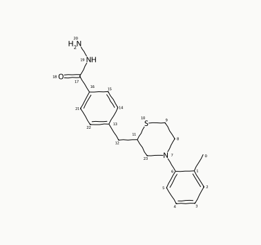 Cc1ccccc1N1CCSC(Cc2ccc(C(=O)NN)cc2)C1